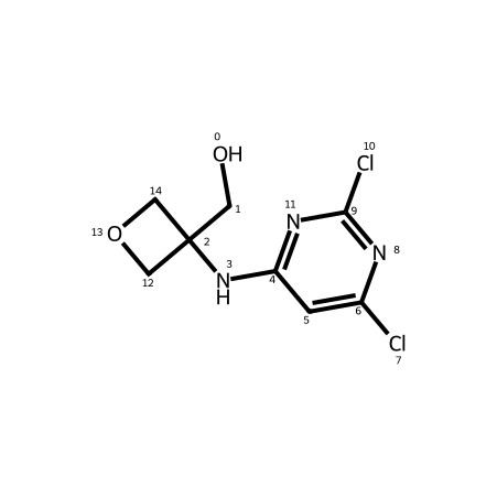 OCC1(Nc2cc(Cl)nc(Cl)n2)COC1